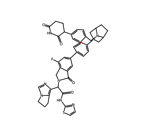 O=C1CCC(c2ccc(CN3C4CCC3CN(c3ccc(-c5cc(F)c6c(c5)C(=O)N(C(C(=O)Nc5nccs5)c5ncn7c5CCC7)C6)cc3)C4)cc2)C(=O)N1